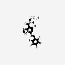 O=C(O)CNC(=O)c1c(O)cc(SCc2c(F)c(F)c(F)c(F)c2F)n2ncnc12